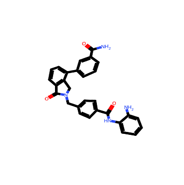 NC(=O)c1cccc(-c2cccc3c2CN(Cc2ccc(C(=O)Nc4ccccc4N)cc2)C3=O)c1